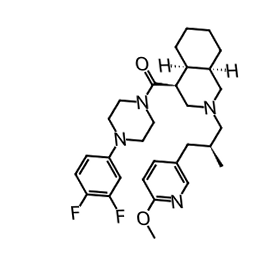 COc1ccc(C[C@H](C)CN2C[C@@H]3CCCC[C@@H]3[C@H](C(=O)N3CCN(c4ccc(F)c(F)c4)CC3)C2)cn1